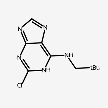 CC(C)(C)CNc1[nH]c(Cl)nc2ncnc1-2